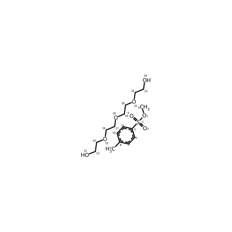 COS(=O)(=O)c1ccc(C)cc1.OCCOCCOCCOCCO